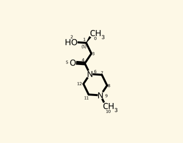 C[C@H](O)CC(=O)N1CCN(C)CC1